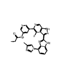 CCC(=O)Nc1cncc(-c2ncc3[nH]nc(-c4nc5c(-n6cnc(C)c6)cccc5[nH]4)c3c2F)c1